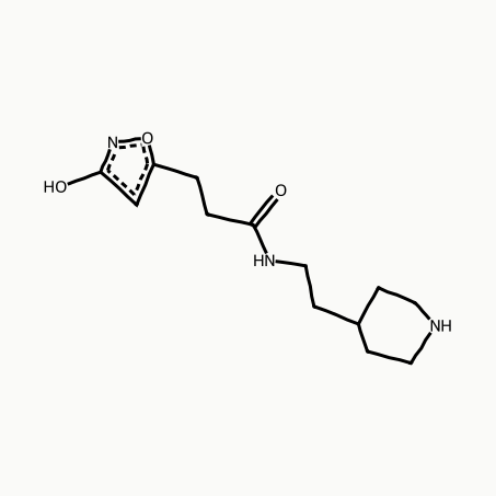 O=C(CCc1cc(O)no1)NCCC1CCNCC1